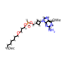 CCCCCCCCCCCCCCCCOCCCOP(C)(=O)OC[C@H]1C[C@@H](n2cnc3c(OC)nc(N)nc32)C1